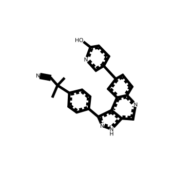 CC(C)(C#N)c1ccc(-c2n[nH]c3cnc4ccc(-c5ccc(O)nc5)cc4c23)cc1